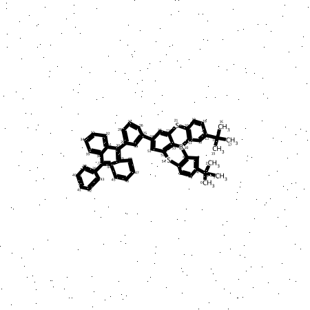 CC(C)(C)c1ccc2c(c1)B1c3cc(C(C)(C)C)ccc3Sc3cc(-c4cccc(-c5c6ccccc6c(-c6ccccc6)c6ccccc56)c4)cc(c31)S2